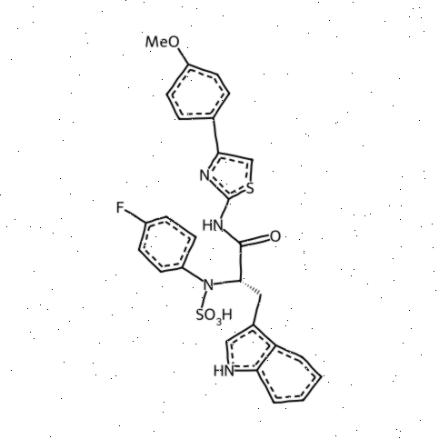 COc1ccc(-c2csc(NC(=O)[C@H](Cc3c[nH]c4ccccc34)N(c3ccc(F)cc3)S(=O)(=O)O)n2)cc1